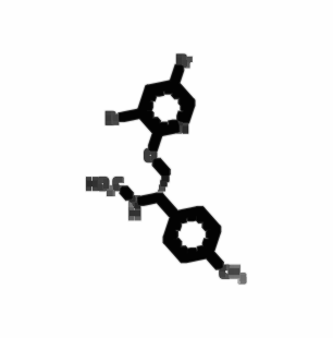 Cc1ccc([C@@H](COc2ncc(Br)cc2Br)NC(=O)O)cc1